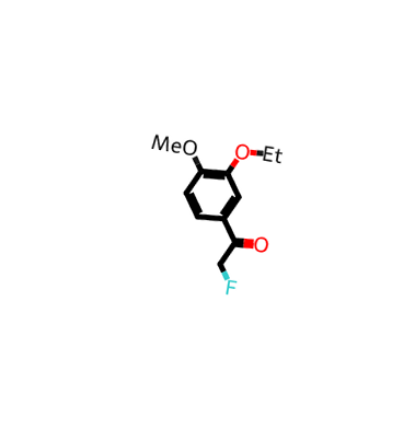 CCOc1cc(C(=O)CF)ccc1OC